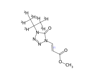 [2H]C([2H])([2H])C([2H])(n1nnn(/C=C/C(=O)OC)c1=O)C([2H])([2H])[2H]